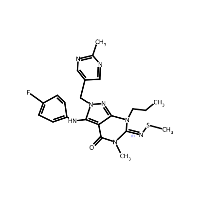 CCCn1/c(=N\SC)n(C)c(=O)c2c(Nc3ccc(F)cc3)n(Cc3cnc(C)nc3)nc21